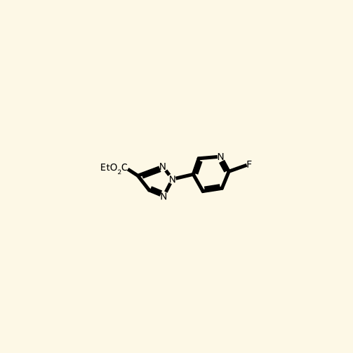 CCOC(=O)c1cnn(-c2ccc(F)nc2)n1